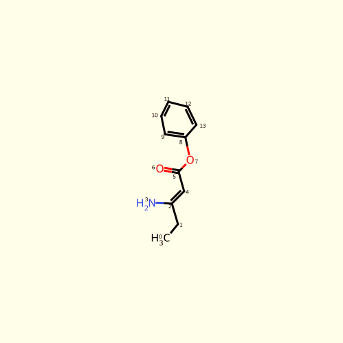 CCC(N)=CC(=O)Oc1ccccc1